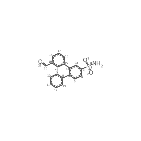 NS(=O)(=O)c1ccc(-c2ccccc2)c(-c2cccc(C=O)c2)c1